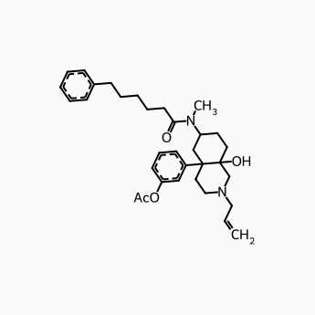 C=CCN1CCC2(c3cccc(OC(C)=O)c3)CC(N(C)C(=O)CCCCCc3ccccc3)CCC2(O)C1